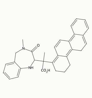 CN1Cc2ccccc2NC(C(C)(C(=O)O)C2=c3ccc4c(c3CCC2)CC=c2ccccc2=4)C1=O